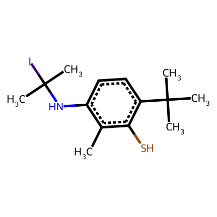 Cc1c(NC(C)(C)I)ccc(C(C)(C)C)c1S